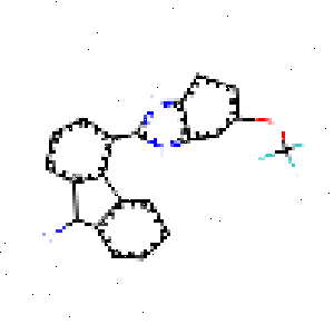 NC1c2ccccc2-c2c(-c3nc4cc(OC(F)(F)F)ccc4[nH]3)cccc21